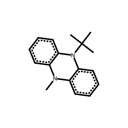 CN1c2ccccc2N(C(C)(C)C)c2ccccc21